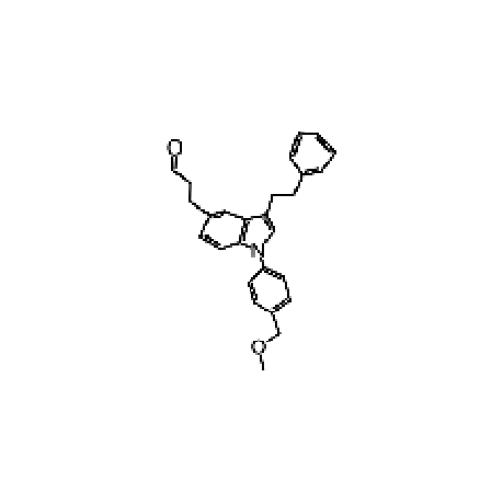 COCc1ccc(-n2cc(CCc3ccccc3)c3cc(CCC=O)ccc32)cc1